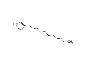 CCCCCCCCCCCc1[c][nH]cc1